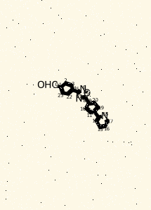 O=Cc1ccc(-c2noc(-c3ccc(-c4ccccn4)cc3)n2)cc1